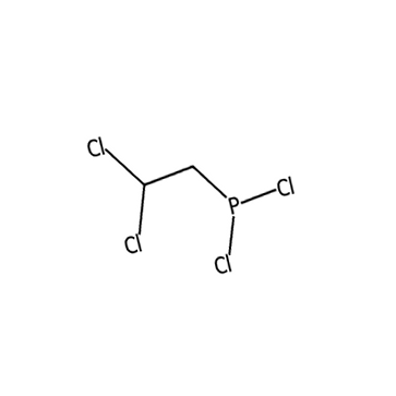 ClC(Cl)CP(Cl)Cl